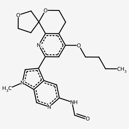 CCCCOc1cc(-c2cn(C)c3cnc(NC=O)cc23)nc2c1CCOC21CCOC1